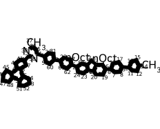 CCCCCCCCC1(CCCCCCCC)c2cc(-c3ccc(-c4ccc(C)cc4)cc3)ccc2-c2ccc(-c3ccc(-c4ccc(-c5cc(C)nc(-c6ccc7c8ccccc8c8ccccc8c7c6)n5)cc4)cc3)cc21